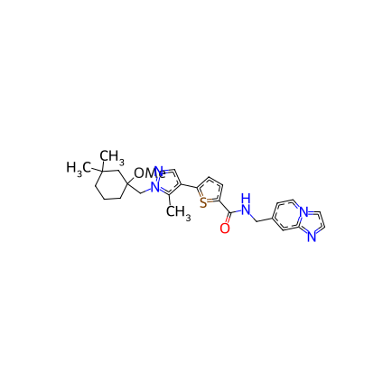 COC1(Cn2ncc(-c3ccc(C(=O)NCc4ccn5ccnc5c4)s3)c2C)CCCC(C)(C)C1